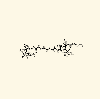 CON1CC(C)(C)C(OC(=O)CCCCCCCCC(=O)OC2CC(C)(C)N(OC)C(C)(C)C2)C(C)(C)C1